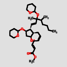 CCCCC(C)C(C)(/C=C/[C@@H]1[C@@H](C/C=C\C/C=C/C(=O)OC)[C@@H](O)C[C@H]1OC1CCCCO1)OC1CCCCO1